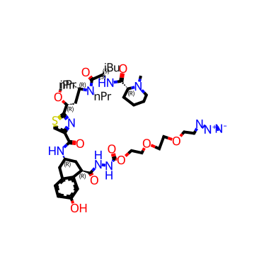 CCCO[C@H](C[C@H](C(C)C)N(CCC)C(=O)[C@@H](NC(=O)[C@H]1CCCCN1C)[C@@H](C)CC)c1nc(C(=O)N[C@H]2Cc3ccc(O)cc3[C@H](C(=O)NNC(=O)OCCOCCOCCN=[N+]=[N-])C2)cs1